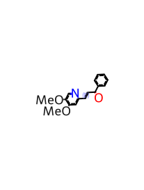 COc1cnc(/C=C/C(=O)c2ccccc2)cc1OC